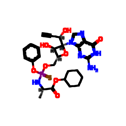 C#C[C@H](O)[C@@]1(n2cnc3c(=O)[nH]c(N)nc32)O[C@H](COP(=S)(N[C@@H](C)C(=O)OC2CCCCC2)Oc2ccccc2)[C@H]1O